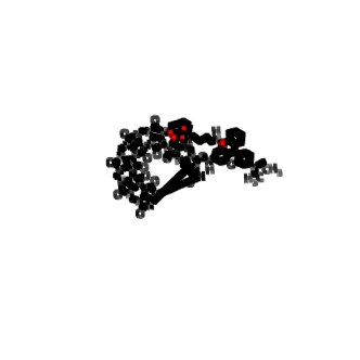 CCN(CC)c1ccc2c(c1)OC1=CC(NOC3N4CN5C(=O)N6CN7C(=O)N8CN9C(=O)N%10CN%11C(=O)N%12CN%13C(=O)N%14CN%15C(=O)N%16CN3C3C4N4C(=O)N3N3C(=O)N(C%15C%163)N3C(=O)N(C%13C%143)N3C(=O)N(C%11C%123)N3C(=O)N(C9C%103)N3C(=O)N(C7C83)N3C(=O)N4C5C63)C=CC1=C2c1ccccc1C(=O)NCCCCNC12CC3CC(CC(C3)C1)C2